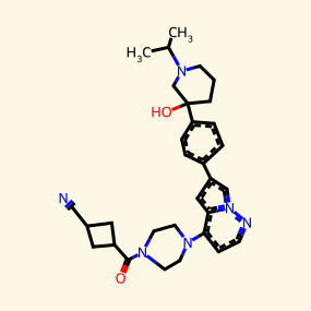 CC(C)N1CCCC(O)(c2ccc(-c3cc4c(N5CCN(C(=O)C6CC(C#N)C6)CC5)ccnn4c3)cc2)C1